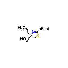 C=CCC1(C(=O)O)CSC(CCCCC)=N1